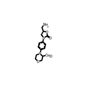 NCC1CN(c2ccc(N3CCOCC3C=O)cc2)C(=O)O1